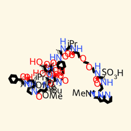 CC[C@H](C)[C@@H]([C@@H](CC(=O)N1CCC[C@H]1[C@H](OC)[C@@H](C)C(=O)N[C@H](C)[C@@H](O)c1ccccc1)OC)N(C)C(=O)[C@@H](NC(=O)[C@H](C(C)C)N(C)C(=O)OCc1ccc(NC(=O)[C@H](C)NC(=O)[C@@H](NC(=O)CCOCCOCCNC(=O)[C@H](CS(=O)(=O)O)NC(=O)CCn2c(CN(C)NC)cc3cccnc32)C(C)C)c(O[C@@H]2O[C@H](CO)[C@@H](O)[C@H](O)[C@H]2O)c1)C(C)C